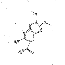 COc1cc2cc(C(N)=O)c(N)nc2cc1OC